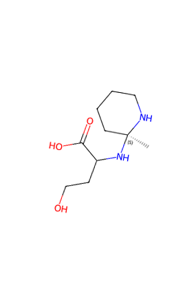 C[C@]1(NC(CCO)C(=O)O)CCCCN1